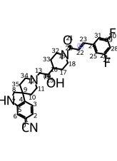 N#Cc1ccc2c(c1)NCC21CCN(C[C@H](O)C2CCN(C(=O)/C=C/c3cc(F)cc(F)c3)CC2)CC1